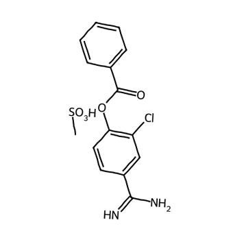 CS(=O)(=O)O.N=C(N)c1ccc(OC(=O)c2ccccc2)c(Cl)c1